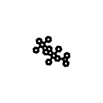 c1ccc(-c2c3c(c(-c4ccccc4)c4ccccc24)-c2ccc4c5c(ccc-3c25)-c2c-4c(-c3ccccc3)c3cc(-n4c5ccccc5c5ccccc54)ccc3c2-c2ccccc2)cc1